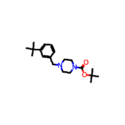 CC(C)(C)OC(=O)N1CCN(Cc2cccc(C(C)(C)C)c2)CC1